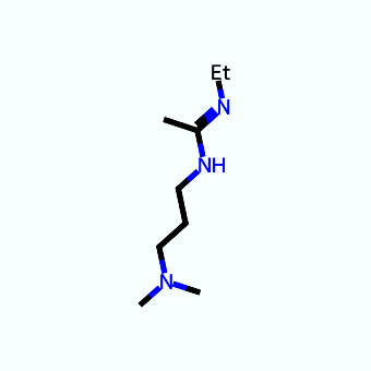 CC/N=C(\C)NCCCN(C)C